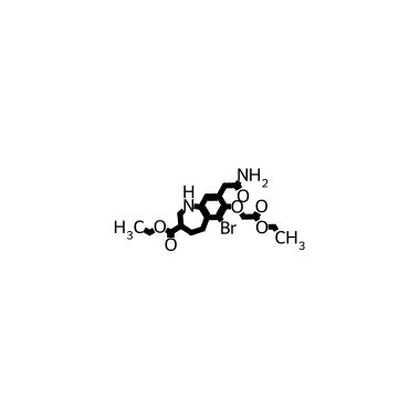 CCOC(=O)COc1c(CC(N)=O)cc2c(c1Br)CCC(C(=O)OCC)CN2